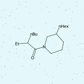 CCCCCCC1CCCN(C(=O)C(CC)CCCC)C1